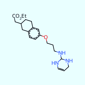 CCOC(=O)CC1CCc2cc(OCCCNC3NC=CCN3)ccc2C1